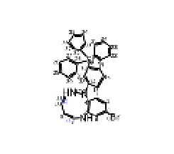 Brc1ccc2c(c1)N/C=C\C=C/NN2c1cccc([Si](c2ccccc2)(c2ccccc2)c2ccccc2)c1